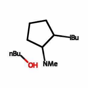 CCC(C)C1CCCC1NC.CCCCO